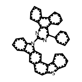 c1ccc(-c2nc(-n3c4ccccc4c4cc5ccc6sc7ccccc7c6c5cc43)nc3c4ccccc4c4ccccc4c23)cc1